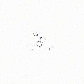 C[C@@H]1COCCN1c1cc(C(C#N)CC(N)=O)c2ccnc(-c3ccn[nH]3)c2n1